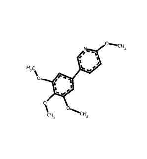 COc1ccc(-c2cc(OC)c(OC)c(OC)c2)cn1